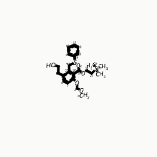 COCOc1ccc(CCO)c(CSc2ccccc2)c1C(=O)OCC[Si](C)(C)C